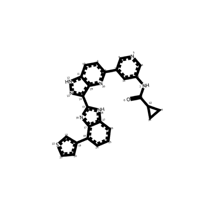 O=C(Nc1cncc(-c2ccc3[nH]nc(-c4nc5c(-c6ccsc6)cccc5[nH]4)c3n2)c1)C1CC1